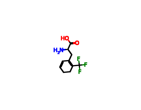 N[C@H](CC1=C(C(F)(F)F)CCC=C1)C(=O)O